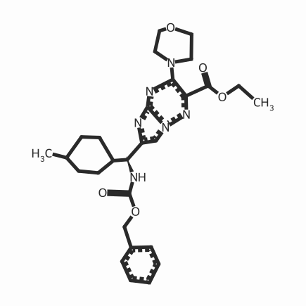 CCOC(=O)c1nn2cc([C@@H](NC(=O)OCc3ccccc3)C3CCC(C)CC3)nc2nc1N1CCOCC1